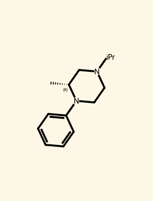 CC(C)N1CCN(c2ccccc2)[C@H](C)C1